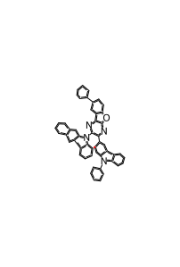 c1ccc(-c2ccc3oc4nc(-c5ccc6c(c5)c5ccccc5n6-c5ccccc5)c(-n5c6ccccc6c6cc7ccccc7cc65)nc4c3c2)cc1